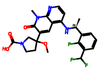 COC1(c2cc3c(N[C@H](C)c4cccc(C(F)F)c4F)ccnc3n(C)c2=O)CCN(C(=O)O)C1